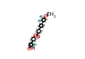 CCOc1ccc(-c2ccc(C3CCC(C(=O)OC4CCC(c5ccc(O)c(F)c5F)CC4)CC3)cc2)c(F)c1F